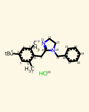 Cc1cc(C(C)(C)C)cc(C)c1CC1=NCCN1Cc1ccccc1.Cl